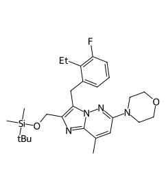 CCc1c(F)cccc1Cc1c(CO[Si](C)(C)C(C)(C)C)nc2c(C)cc(N3CCOCC3)nn12